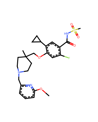 COc1cccc(CN2CCC(C)(COc3cc(F)c(C(=O)NS(C)(=O)=O)cc3C3CC3)CC2)n1